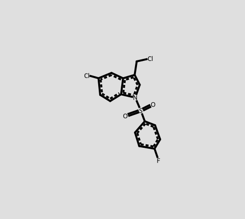 O=S(=O)(c1ccc(F)cc1)n1cc(CCl)c2cc(Cl)ccc21